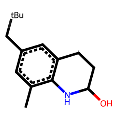 Cc1cc(CC(C)(C)C)cc2c1NC(O)C[CH]2